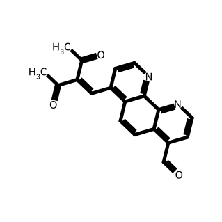 CC(=O)C(=Cc1ccnc2c1ccc1c(C=O)ccnc12)C(C)=O